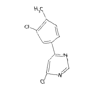 Cc1ccc(-c2cc(Cl)ncn2)cc1Cl